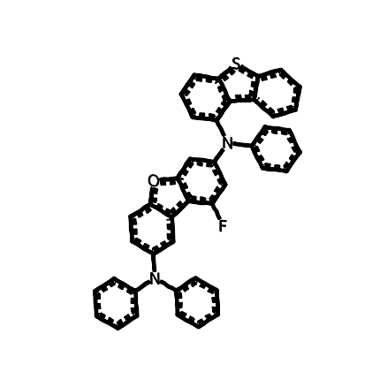 Fc1cc(N(c2ccccc2)c2cccc3sc4ccccc4c23)cc2oc3ccc(N(c4ccccc4)c4ccccc4)cc3c12